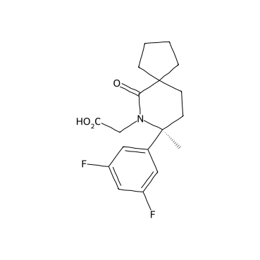 C[C@@]1(c2cc(F)cc(F)c2)CCC2(CCCC2)C(=O)N1CC(=O)O